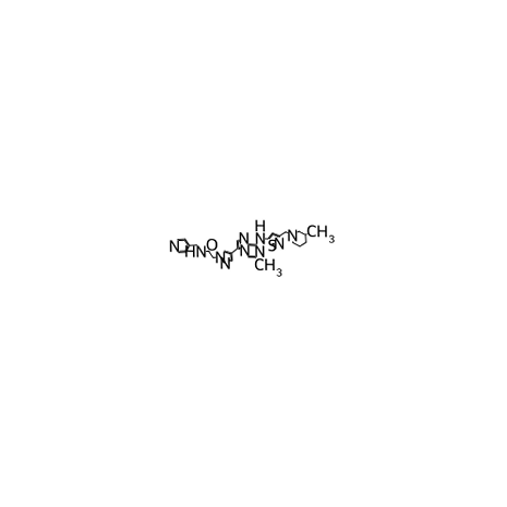 Cc1cn2c(-c3cnn(CC(=O)NCc4ccncc4)c3)cnc2c(Nc2cc(CN3CCCC(C)C3)ns2)n1